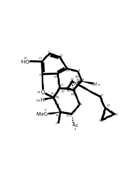 CO[C@]1(C)[C@@H](C(C)=O)C[C@]2(C)[C@H]3Cc4ccc(O)c5c4[C@@]2(CCN3CC2CC2)[C@H]1O5